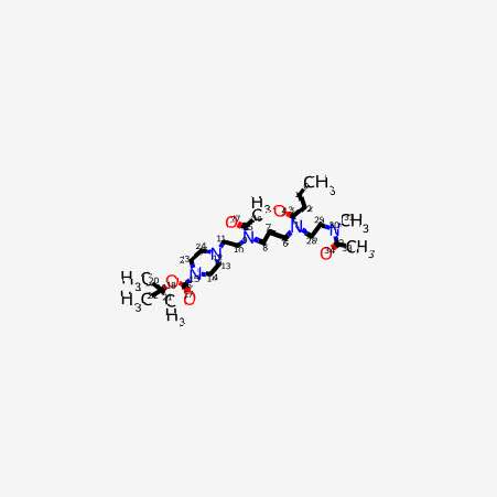 CCCC(=O)N(CCCN(CCN1CCN(C(=O)OC(C)(C)C)CC1)C(C)=O)CCN(C)C(C)=O